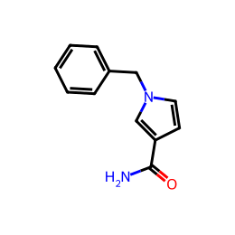 NC(=O)c1ccn(Cc2ccccc2)c1